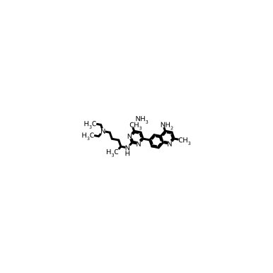 CCN(CC)CCCC(C)Nc1nc(C)cc(-c2ccc3nc(C)cc(N)c3c2)n1.N